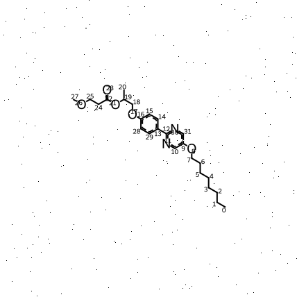 CCCCCCCCOc1cnc(-c2ccc(OCC(C)OC(=O)CCOC)cc2)nc1